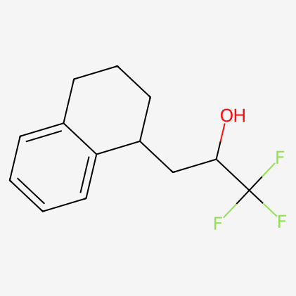 OC(CC1CCCc2ccccc21)C(F)(F)F